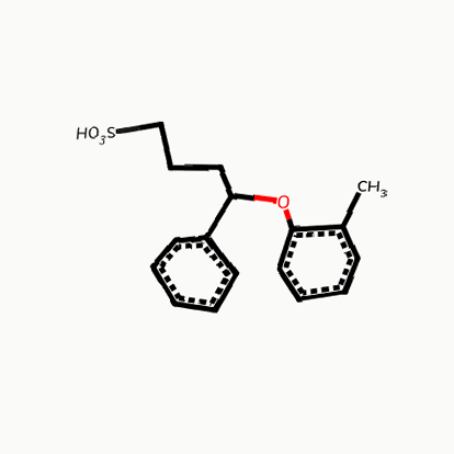 Cc1ccccc1OC(CCCS(=O)(=O)O)c1ccccc1